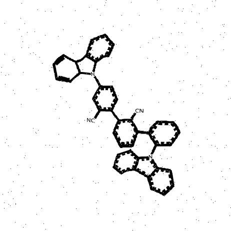 N#Cc1cc(N2c3ccccc3C3C=CC=CC32)ccc1-c1cccc(-c2ccccc2-n2c3ccccc3c3ccccc32)c1C#N